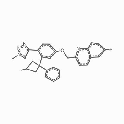 CC1CC(c2ccccc2)(c2cc(OCc3ccc4cc(F)ccc4n3)ccc2-c2cn(C)nn2)C1